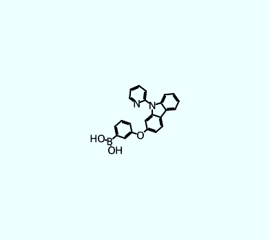 OB(O)c1cccc(Oc2ccc3c4ccccc4n(-c4ccccn4)c3c2)c1